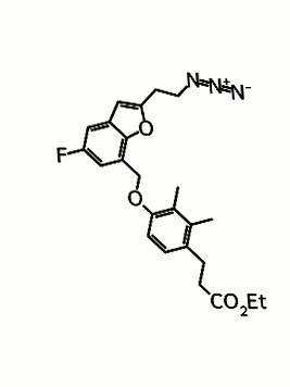 CCOC(=O)CCc1ccc(OCc2cc(F)cc3cc(CCN=[N+]=[N-])oc23)c(C)c1C